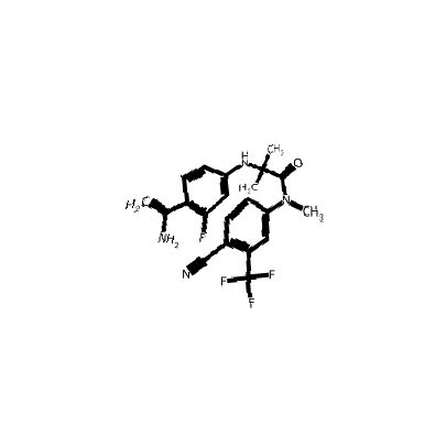 C=C(N)c1ccc(NC(C)(C)C(=O)N(C)c2ccc(C#N)c(C(F)(F)F)c2)cc1F